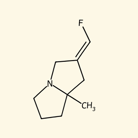 CC12CCCN1C/C(=C\F)C2